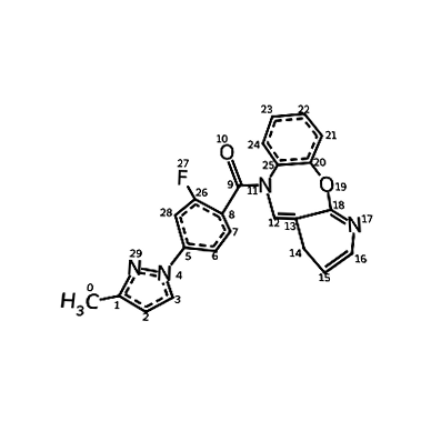 Cc1ccn(-c2ccc(C(=O)N3C=C4CC=CN=C4Oc4ccccc43)c(F)c2)n1